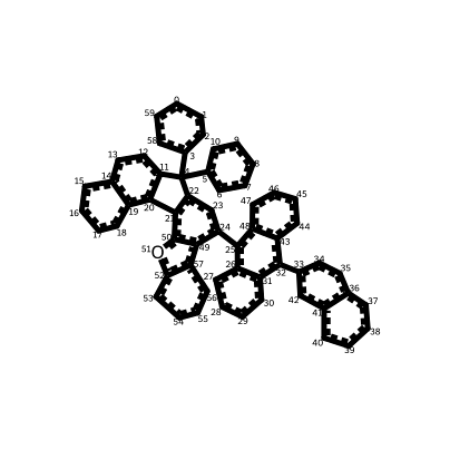 c1ccc(C2(c3ccccc3)c3ccc4ccccc4c3-c3c2cc(-c2c4ccccc4c(-c4ccc5ccccc5c4)c4ccccc24)c2c3oc3ccccc32)cc1